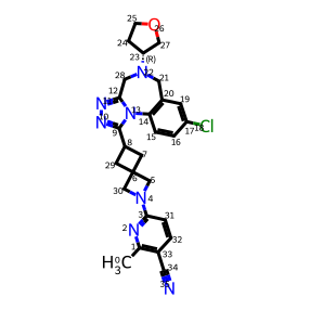 Cc1nc(N2CC3(CC(c4nnc5n4-c4ccc(Cl)cc4CN([C@@H]4CCOC4)C5)C3)C2)ccc1C#N